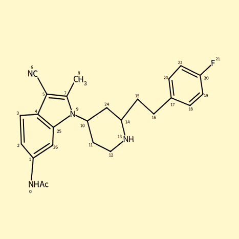 CC(=O)Nc1ccc2c(C#N)c(C)n(C3CCNC(CCc4ccc(F)cc4)C3)c2c1